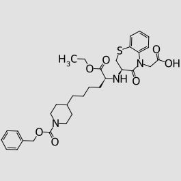 CCOC(=O)[C@H](CCCCC1CCN(C(=O)OCc2ccccc2)CC1)N[C@H]1CSc2ccccc2N(CC(=O)O)C1=O